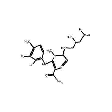 Cc1ccc(NC2=C(C(N)=O)N=CC(NC[C@@H](N)CC(F)F)N2C)c(Br)c1Br